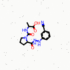 CC(NC(=O)N1CCCC1C(=O)NNc1cccc(C#N)c1)C(=O)O